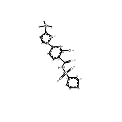 CS(C)(C)c1ccn(-c2ccc(C(=O)NS(=O)(=O)c3ccccc3)c(Cl)n2)n1